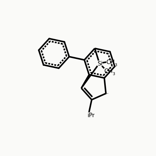 CC(C)C1=C2c3c(ccc(c3-c3ccccc3)[Si]2(C)C)[CH]1